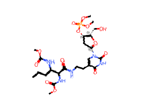 CCCC(NC(=O)OC)C(NC(=O)OC)C(=O)NCCc1cn([C@@H]2C[C@H](OP(=O)(OC)OC)[C@H](CO)O2)c(=O)[nH]c1=O